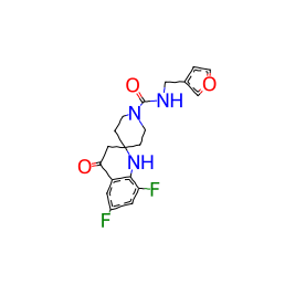 O=C1CC2(CCN(C(=O)NCc3ccoc3)CC2)Nc2c(F)cc(F)cc21